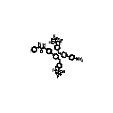 Nc1ccc(N2CCN(Cc3ccc(C(O)(C(F)(F)F)C(F)(F)F)cc3)CC2)cc1.O=C(Nc1ccncc1)Nc1ccc(N2CCN(Cc3ccc(C(O)(C(F)(F)F)C(F)(F)F)cc3)CC2)cc1